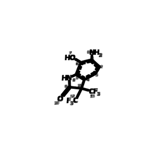 Nc1ccc2c(c1O)NC(=O)C2(C(F)(F)F)C(F)(F)F